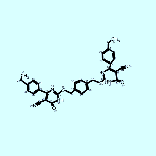 CCc1ccc(-c2nc(SCc3ccc(CSc4nc(-c5ccc(CC)cc5)c(C#N)c(=O)[nH]4)cc3)[nH]c(=O)c2C#N)cc1